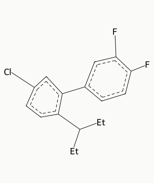 CCC(CC)c1ccc(Cl)cc1-c1ccc(F)c(F)c1